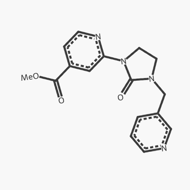 COC(=O)c1ccnc(N2CCN(Cc3cccnc3)C2=O)c1